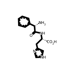 N[C@H](C(=O)N[C@@H](Cc1c[nH]cn1)C(=O)O)c1ccccc1